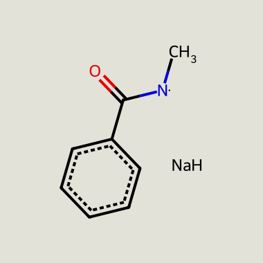 C[N]C(=O)c1ccccc1.[NaH]